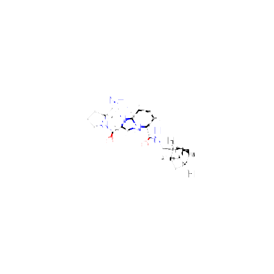 CC1(C)[C@H]2CC[C@@H](CNC(=O)c3cccc4nc(C(=O)N5CCC[C@H]5CN)cn34)[C@@H]1C2